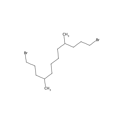 CC(CCCBr)CCCCC(C)CCCBr